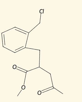 COC(=O)C(CC(C)=O)Cc1ccccc1CCl